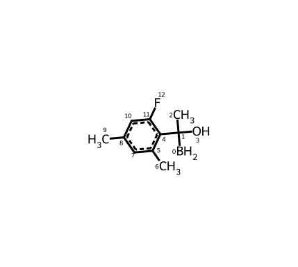 BC(C)(O)c1c(C)cc(C)cc1F